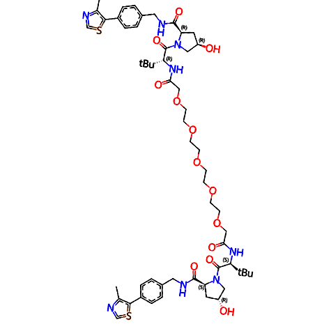 Cc1ncsc1-c1ccc(CNC(=O)[C@H]2C[C@@H](O)CN2C(=O)[C@H](NC(=O)COCCOCCOCCOCCOCC(=O)N[C@H](C(=O)N2C[C@H](O)C[C@H]2C(=O)NCc2ccc(-c3scnc3C)cc2)C(C)(C)C)C(C)(C)C)cc1